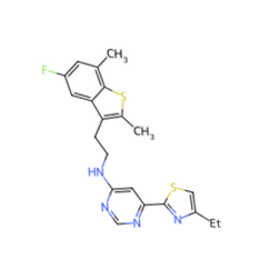 CCc1csc(-c2cc(NCCc3c(C)sc4c(C)cc(F)cc34)ncn2)n1